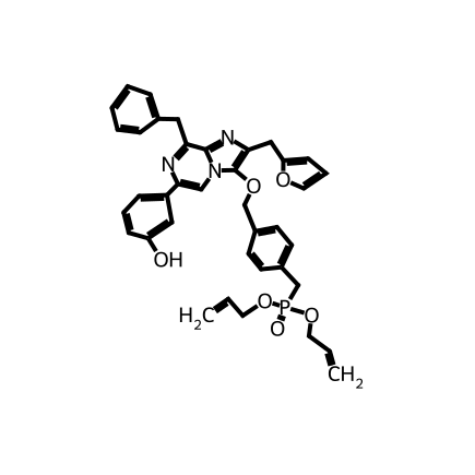 C=CCOP(=O)(Cc1ccc(COc2c(Cc3ccco3)nc3c(Cc4ccccc4)nc(-c4cccc(O)c4)cn23)cc1)OCC=C